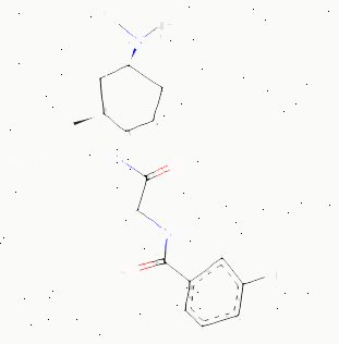 CCC[C@H]1C[C@@H](N(C)C(C)C)CC[C@@H]1NC(=O)CNC(=O)c1cccc(C(F)(F)F)c1